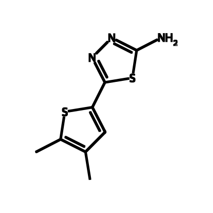 Cc1cc(-c2nnc(N)s2)sc1C